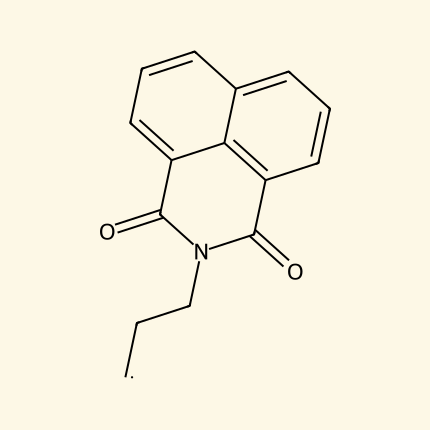 [CH2]CCN1C(=O)c2cccc3cccc(c23)C1=O